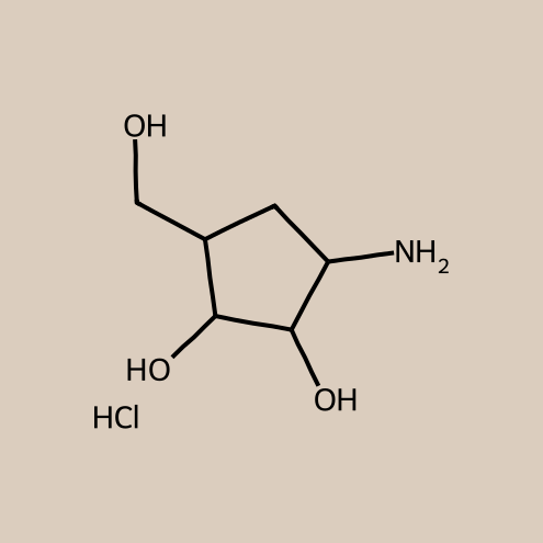 Cl.NC1CC(CO)C(O)C1O